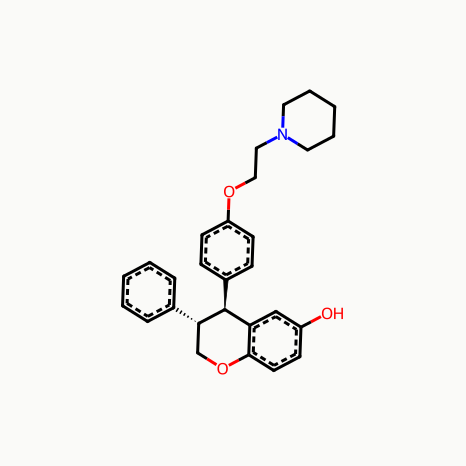 Oc1ccc2c(c1)[C@H](c1ccc(OCCN3CCCCC3)cc1)[C@@H](c1ccccc1)CO2